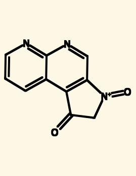 O=C1C[N+](=O)c2cnc3ncccc3c21